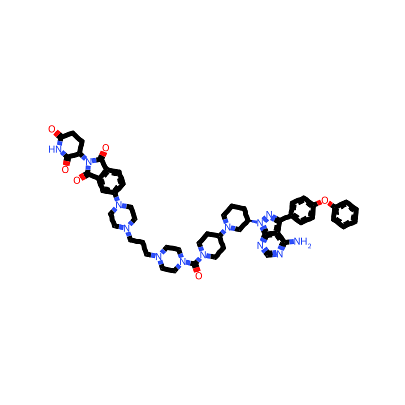 Nc1ncnc2c1c(-c1ccc(Oc3ccccc3)cc1)nn2[C@@H]1CCCN(C2CCN(C(=O)N3CCN(CCCN4CCN(c5ccc6c(c5)C(=O)N(C5CCC(=O)NC5=O)C6=O)CC4)CC3)CC2)C1